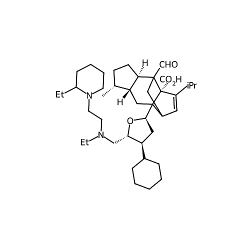 CCC1CCCCN1CCN(CC)C[C@@H]1O[C@@H](C23C[C@@H]4[C@H](C)CC[C@H]4C4(C=O)CC2C=C(C(C)C)[C@]43C(=O)O)C[C@H]1C1CCCCC1